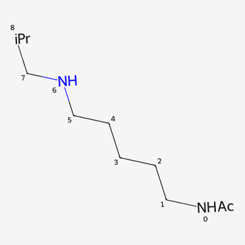 CC(=O)NCCCCCNCC(C)C